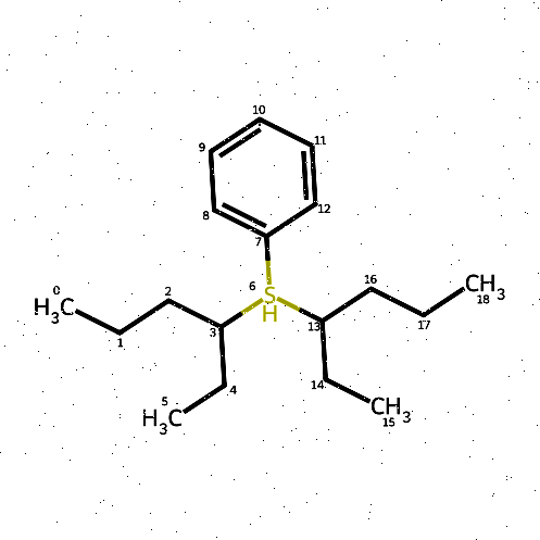 CCCC(CC)[SH](c1cc[c]cc1)C(CC)CCC